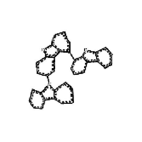 c1ccc2c(c1)oc1c(-c3cccc4oc5ccc(-n6c7ccccc7c7ccccc76)cc5c34)cccc12